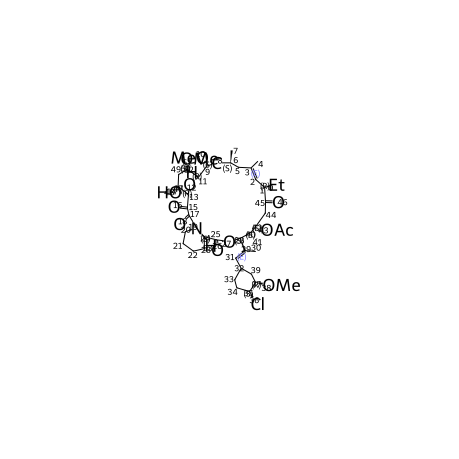 CC[C@@H]1/C=C(\C)C[C@H](C)C[C@H](OC)[C@H]2O[C@@](O)(C(=O)C(=O)N3CCCC[C@H]3C(=O)O[C@H](/C(C)=C/C3CC[C@H](Cl)[C@H](OC)C3)[C@@H](C)[C@@H](OC(C)=O)CC1=O)[C@H](C)C[C@@H]2OC